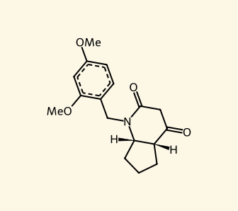 COc1ccc(CN2C(=O)CC(=O)[C@@H]3CCC[C@@H]32)c(OC)c1